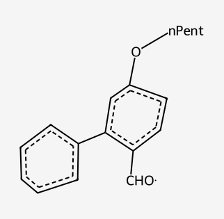 CCCCCOc1ccc([C]=O)c(-c2ccccc2)c1